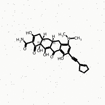 CN(C)c1cc(C#CC2=CCCC2)c(O)c2c1C[C@H]1C[C@H]3CC(O)=C(C(N)=O)C(=O)[C@@]3(O)C(O)=C1C2=O